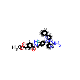 COC(=O)Cc1cccc(C(=O)NCc2ccc(-n3c(-c4cccnc4N)nc4ccc(-c5ccccc5)nc43)cc2F)c1